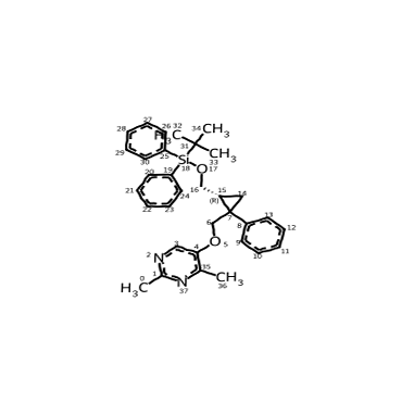 Cc1ncc(OCC2(c3ccccc3)C[C@H]2CO[Si](c2ccccc2)(c2ccccc2)C(C)(C)C)c(C)n1